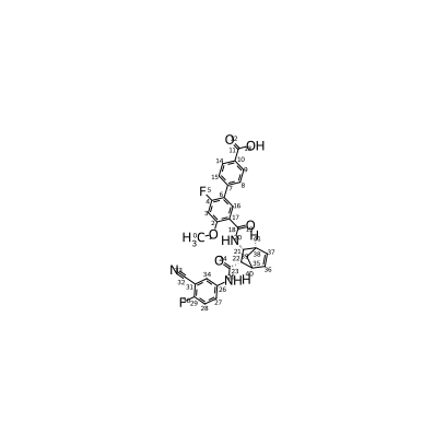 COc1cc(F)c(-c2ccc(C(=O)O)cc2)cc1C(=O)N[C@H]1[C@@H](C(=O)Nc2ccc(F)c(C#N)c2)[C@@H]2C=C[C@H]1C2